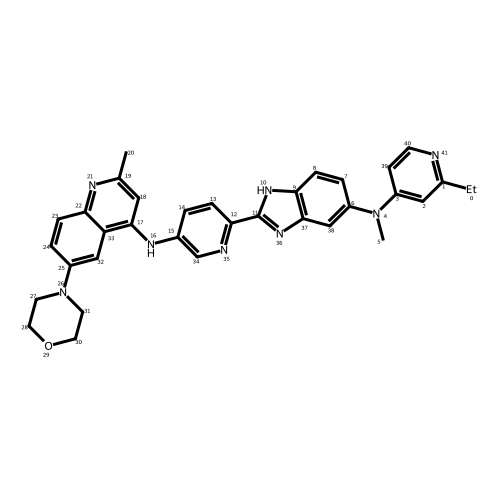 CCc1cc(N(C)c2ccc3[nH]c(-c4ccc(Nc5cc(C)nc6ccc(N7CCOCC7)cc56)cn4)nc3c2)ccn1